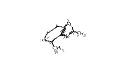 Cc1nc2c(o1)CCNC2C